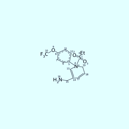 CCS(=O)(=O)[N+]1(c2ccc(OC(F)(F)F)cc2)C=C(CN)C=CC1